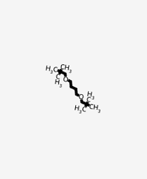 CC(C)(C)COCCCCOCC(C)(C)C